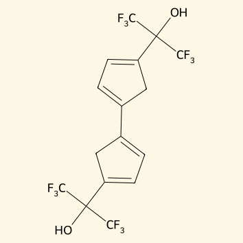 OC(C1=CC=C(C2=CC=C(C(O)(C(F)(F)F)C(F)(F)F)C2)C1)(C(F)(F)F)C(F)(F)F